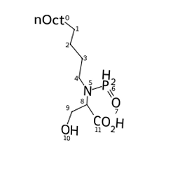 CCCCCCCCCCCCN([PH2]=O)C(CO)C(=O)O